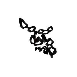 CC1(C)c2ccccc2-c2ccc(N(c3ccccc3)c3cc4ccccc4c4ccc(N(c5ccccc5)c5ccc(-c6ccccc6)cc5)cc34)cc21